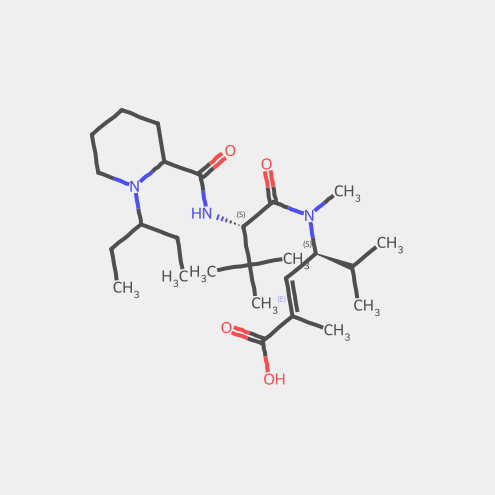 CCC(CC)N1CCCCC1C(=O)N[C@H](C(=O)N(C)[C@H](/C=C(\C)C(=O)O)C(C)C)C(C)(C)C